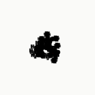 CC(=N)O[C@H]1OC(C)[C@H](OC(C)=O)C(O[C@@H]2OC(C)[C@H](C)[C@@H]3OC(C)(C)OC23)[C@H]1OC[C@@H]1OC(C)[C@H](O[C@@H]2OC[C@@H](C)C(O[C@@]34COCC3(COCc3ccccc3)O[C@@H](c3ccccc3)O4)[C@H]2OCc2ccccc2)C(O[C@@H]2OC(COCc3ccccc3)[C@@H](OCc3ccccc3)C(OCc3ccccc3)[C@H]2C)[C@@H]1C